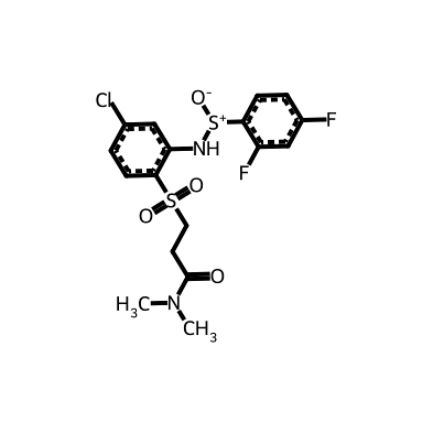 CN(C)C(=O)CCS(=O)(=O)c1ccc(Cl)cc1N[S+]([O-])c1ccc(F)cc1F